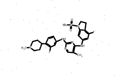 Cc1cnc(Nc2ccc(C3CCN(C)CC3)c(F)c2)nc1Nc1cc(F)c2c(c1)N(S(=O)(=O)C(C)(C)C)CC2